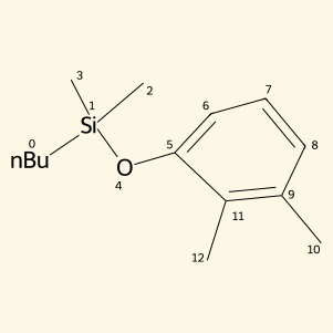 CCCC[Si](C)(C)Oc1cccc(C)c1C